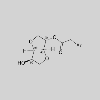 CC(=O)CC(=O)O[C@H]1CO[C@H]2[C@@H]1OC[C@H]2O